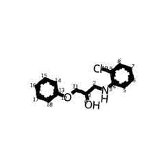 OC(CNc1ccccc1Cl)COc1ccccc1